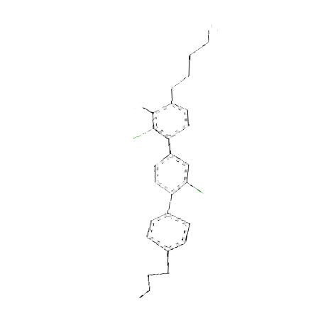 CCCCCc1ccc(-c2ccc(-c3ccc(CCCC)cc3)c(F)c2)c(F)c1C